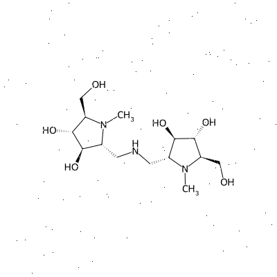 CN1[C@H](CO)[C@@H](O)[C@H](O)[C@H]1CNC[C@@H]1[C@@H](O)[C@H](O)[C@@H](CO)N1C